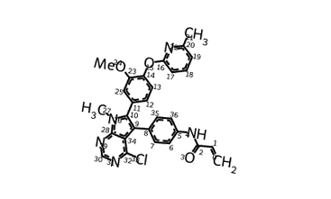 C=CC(=O)Nc1ccc(-c2c(-c3ccc(Oc4cccc(C)n4)c(OC)c3)n(C)c3ncnc(Cl)c23)cc1